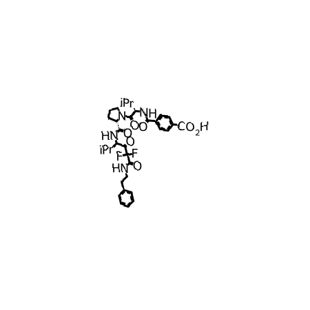 CC(C)C(NC(=O)[C@@H]1CCCN1C(=O)[C@@H](NC(=O)c1ccc(C(=O)O)cc1)C(C)C)C(=O)C(F)(F)C(=O)NCCc1ccccc1